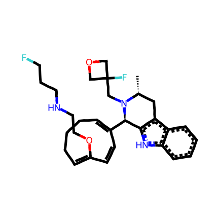 C[C@@H]1Cc2c([nH]c3ccccc23)[C@@H](C2=C/CCC/C=C(OCCNCCCF)/C=C\2)N1CC1(F)COC1